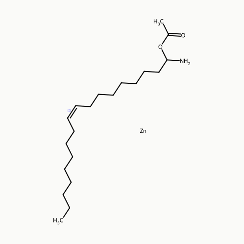 CCCCCCCC/C=C\CCCCCCCC(N)OC(C)=O.[Zn]